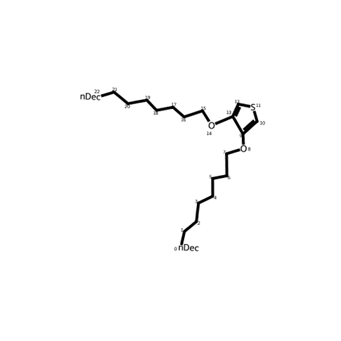 CCCCCCCCCCCCCCCCCOc1cscc1OCCCCCCCCCCCCCCCCC